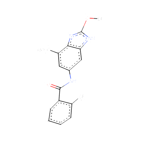 CCOc1nc2c(C(=O)O)cc(NC(=O)c3ccccc3C(F)(F)F)cc2[nH]1